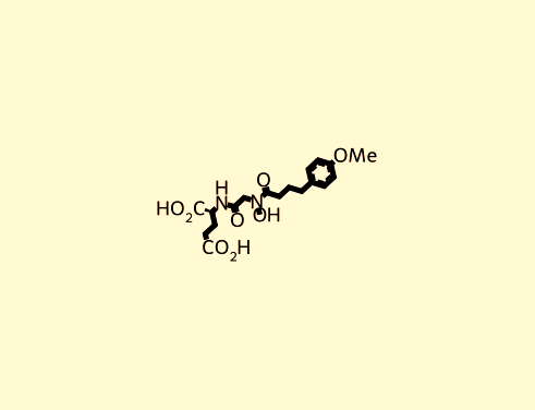 COc1ccc(CCCC(=O)N(O)CC(=O)N[C@@H](CCC(=O)O)C(=O)O)cc1